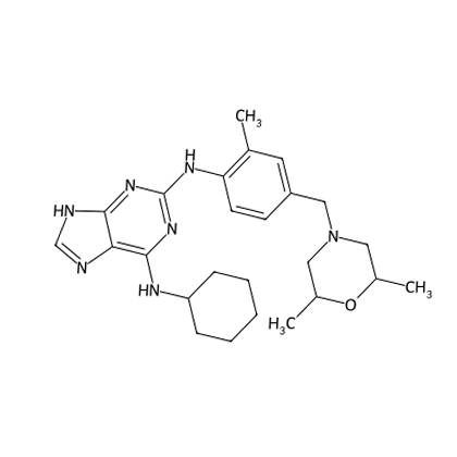 Cc1cc(CN2CC(C)OC(C)C2)ccc1Nc1nc(NC2CCCCC2)c2nc[nH]c2n1